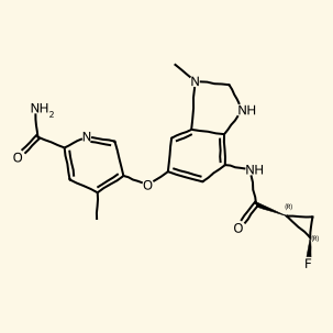 Cc1cc(C(N)=O)ncc1Oc1cc(NC(=O)[C@H]2C[C@H]2F)c2c(c1)N(C)CN2